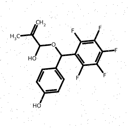 C=C(C)C(O)OC(c1ccc(O)cc1)c1c(F)c(F)c(F)c(F)c1F